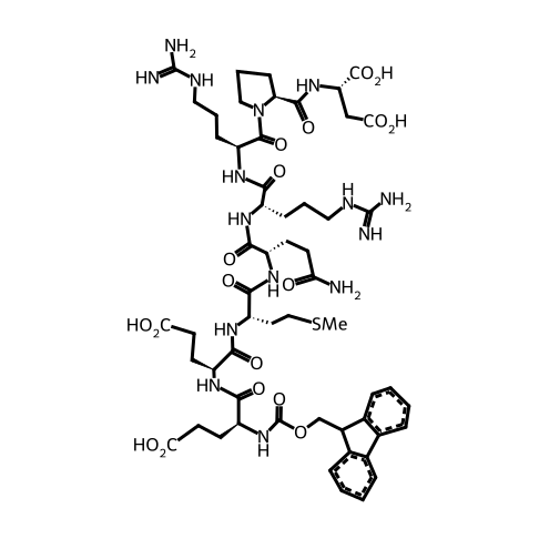 CSCC[C@H](NC(=O)[C@H](CCC(=O)O)NC(=O)[C@H](CCC(=O)O)NC(=O)OCC1c2ccccc2-c2ccccc21)C(=O)N[C@@H](CCC(N)=O)C(=O)N[C@@H](CCCNC(=N)N)C(=O)N[C@@H](CCCNC(=N)N)C(=O)N1CCC[C@H]1C(=O)N[C@@H](CC(=O)O)C(=O)O